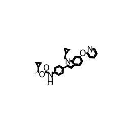 C[C@@H](OC(=O)Nc1ccc(-c2cc3ccc(Oc4ccccn4)cc3n2CC2CC2)cc1)C1CC1